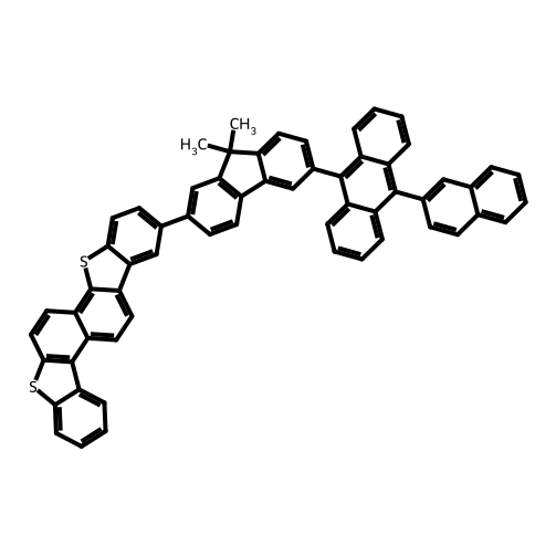 CC1(C)c2ccc(-c3c4ccccc4c(-c4ccc5ccccc5c4)c4ccccc34)cc2-c2ccc(-c3ccc4sc5c(ccc6c5ccc5sc7ccccc7c56)c4c3)cc21